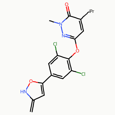 C=C1C=C(c2cc(Cl)c(Oc3cc(C(C)C)c(=O)n(C)n3)c(Cl)c2)ON1